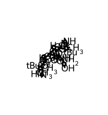 Cc1cc(C(C)(C)C)c(OC(=O)c2cc(=O)c3c(OCC(COc4cccc5oc(C(=O)Oc6c(C(C)(C)C)cc(C)c(CC7=NCCN7)c6C)cc(=O)c45)OC(=O)[C@@H]4N5C(=O)[C@@H](NC(=O)[C@H](N)c6ccc(O)cc6)[C@H]5SC4(C)C)cccc3o2)c(C)c1CC1=NCCN1